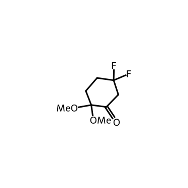 COC1(OC)CCC(F)(F)CC1=O